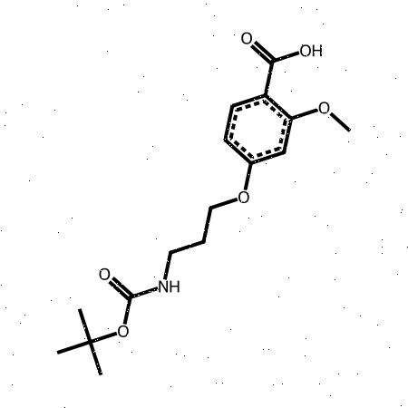 COc1cc(OCCCNC(=O)OC(C)(C)C)ccc1C(=O)O